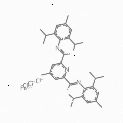 CC(=Nc1c(C(C)C)cc(C)cc1C(C)C)c1cc(C)cc(C(C)=Nc2c(C(C)C)cc(C)cc2C(C)C)n1.[Cl-].[Cl-].[Cl-].[Fe+3]